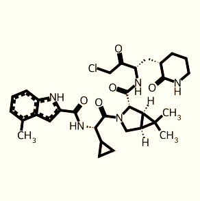 Cc1cccc2[nH]c(C(=O)N[C@H](C(=O)N3C[C@H]4[C@@H]([C@H]3C(=O)N[C@@H](C[C@@H]3CCCNC3=O)C(=O)CCl)C4(C)C)C3CC3)cc12